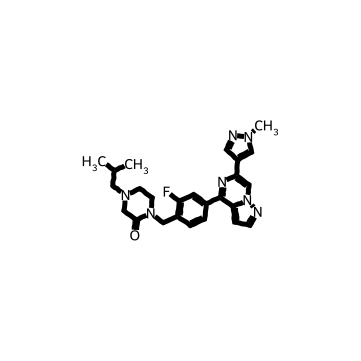 CC(C)CN1CCN(Cc2ccc(-c3nc(-c4cnn(C)c4)cn4nccc34)cc2F)C(=O)C1